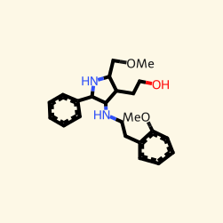 COCC1NC(c2ccccc2)C(NCCc2ccccc2OC)C1CCO